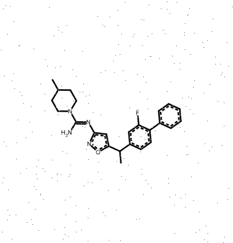 CC1CCN(C(N)=Nc2cc(C(C)c3ccc(-c4ccccc4)c(F)c3)on2)CC1